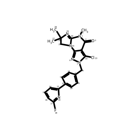 CN1C(=O)c2c(nn(Cc3ccc(-c4cccc(F)n4)cc3)c2Cl)N2CC(C)(C)N=C12